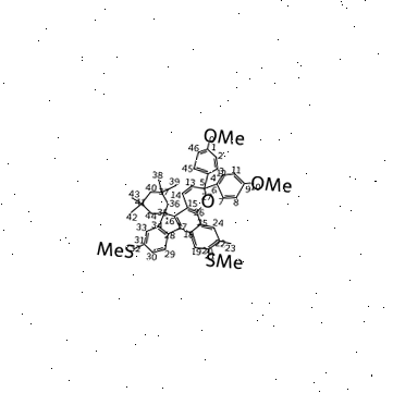 COc1ccc(C2(c3ccc(OC)cc3)C=Cc3c4c(c5cc(SC)c(C)cc5c3O2)-c2ccc(SC)cc2C42CC(C)(C)CC(C)(C)C2)cc1